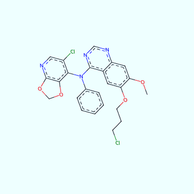 COc1cc2ncnc(N(c3ccccc3)c3c(Cl)cnc4c3OCO4)c2cc1OCCCCl